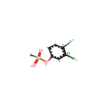 CS(=O)(=O)Oc1[c]cc(F)c(F)c1